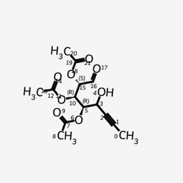 CC#CC(O)[C@@H](OC(C)=O)[C@@H](OC(C)=O)[C@@H](C=O)OC(C)=O